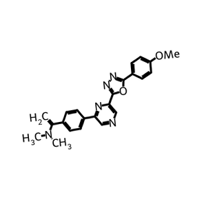 C=C(c1ccc(-c2cncc(-c3nnc(-c4ccc(OC)cc4)o3)n2)cc1)N(C)C